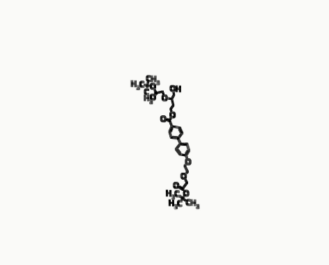 CC(C)(C)OC(=O)COCCOc1ccc(-c2ccc(C(=O)OCCC(CO)OCC(=O)OC(C)(C)C)cc2)cc1